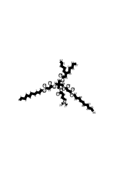 CCCCCCCCCCOC(=O)CC(=O)OCC(COC(=O)CCCN(C)C)(COC(=O)CC(=O)OCCCCCCCCCC)COC(=O)CC(CCCCC)CCCCC